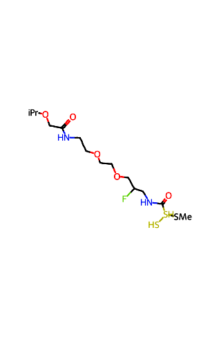 CS[SH](S)C(=O)NCC(F)COCCOCCNC(=O)COC(C)C